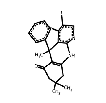 CC1(C)CC(=O)C2=C(C1)Nc1ncc(I)c(Br)c1C2(C)c1ccccc1